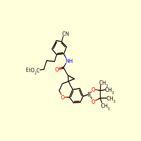 CCOC(=O)CCCc1ccc(C#N)cc1NC(=O)C1CC12CCOc1ccc(B3OC(C)(C)C(C)(C)O3)cc12